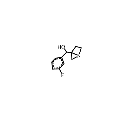 OC(c1cccc(F)c1)C12CCN1C2